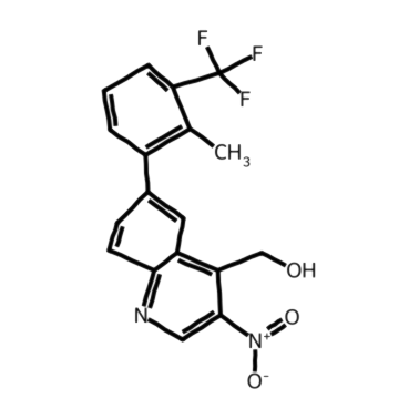 Cc1c(-c2ccc3ncc([N+](=O)[O-])c(CO)c3c2)cccc1C(F)(F)F